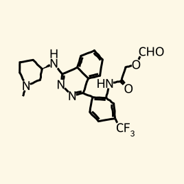 CN1CCC[C@@H](Nc2nnc(-c3ccc(C(F)(F)F)cc3NC(=O)COC=O)c3ccccc23)C1